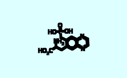 NC(Cc1cc2nccnc2cc1CP(=O)(O)O)C(=O)O